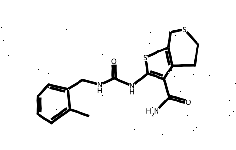 Cc1ccccc1CNC(=O)Nc1sc2c(c1C(N)=O)CCSC2